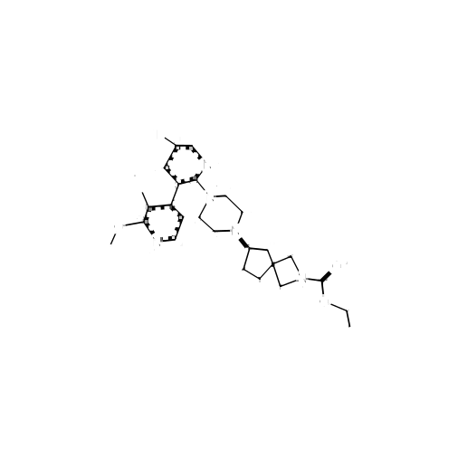 CCOC(=O)N1CC2(CCC(=[N+]3CCN(c4ncc(F)cc4-c4ccnc(OC)c4F)CC3)C2)C1